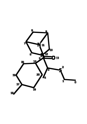 CCSC(C)N1CC2CC(C1)N2C(=O)C1CCC(C)CC1